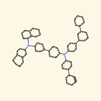 c1cccc(-c2ccc(N(c3ccc(-c4ccc(N(c5ccc6ccccc6c5)c5cccc6ccccc56)cc4)cc3)c3ccc(-c4cccc(-c5ccccc5)c4)cc3)cc2)c#1